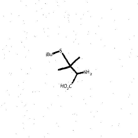 CCC(C)SC(C)(C)C(N)C(=O)O